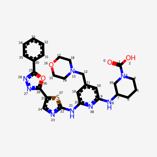 O=C(O)N1CCCC(Nc2cc(CN3CCOCC3)cc(Nc3ncc(-c4nnc(-c5ccccc5)o4)s3)n2)C1